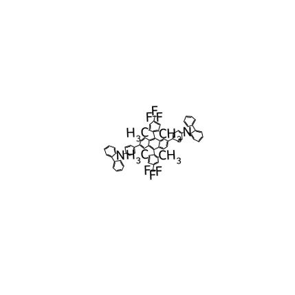 Cc1cc(C(F)(F)F)cc(C)c1-c1c2ccc(-c3ccc(-n4c5ccccc5c5ccccc54)cc3)cc2c(-c2c(C)cc(C(F)(F)F)cc2C)c2ccc(-c3ccc(-n4c5ccccc5c5ccccc54)cc3)cc12